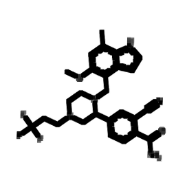 COc1cc(C)c2[nH]ccc2c1CN1CCN(CCC(F)(F)F)CC1c1ccc(C(N)=O)c(C#N)c1